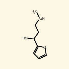 C[AsH]CC[C@H](O)c1cccs1